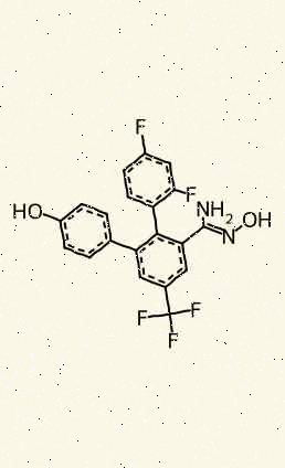 N/C(=N\O)c1cc(C(F)(F)F)cc(-c2ccc(O)cc2)c1-c1ccc(F)cc1F